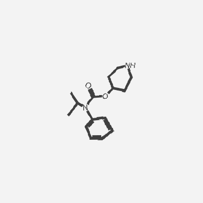 CC(C)N(C(=O)OC1CCNCC1)c1ccccc1